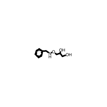 OCC(O)CONCc1ccccc1